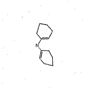 C1=C([N]C2=CCCCC2)CCCC1